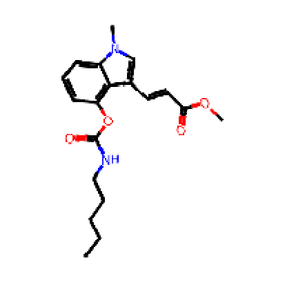 CCCCCNC(=O)Oc1cccc2c1c(C=CC(=O)OC)cn2C